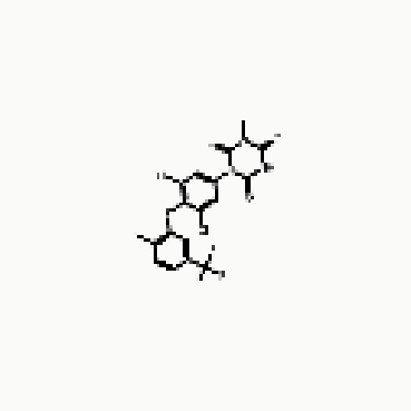 Cn1c(=O)[nH]c(=O)n(-c2cc(Cl)c(Sc3cc(C(F)(F)F)ccc3Cl)c(Cl)c2)c1=O